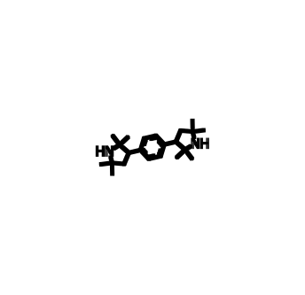 CC1(C)CC(c2ccc(C3CC(C)(C)NC3(C)C)cc2)C(C)(C)N1